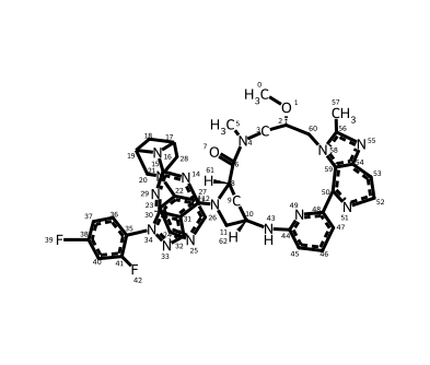 CO[C@H]1CN(C)C(=O)[C@@H]2C[C@@H](CN2c2nc(N3C4CC3CN(c3ccncn3)C4)nc3c2cnn3-c2ccc(F)cc2F)Nc2cccc(n2)-c2nccc3nc(C)n(c23)C1